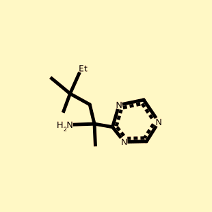 CCC(C)(C)CC(C)(N)c1ncncn1